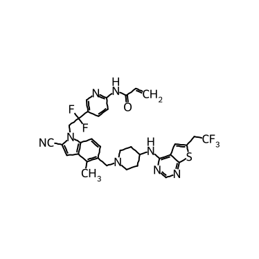 C=CC(=O)Nc1ccc(C(F)(F)Cn2c(C#N)cc3c(C)c(CN4CCC(Nc5ncnc6sc(CC(F)(F)F)cc56)CC4)ccc32)cn1